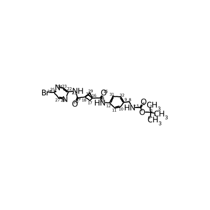 CC(C)(C)OC(=O)NCc1ccc(NC(=O)C23CC(C(=O)Nc4cnc(Br)cn4)(C2)C3)cc1